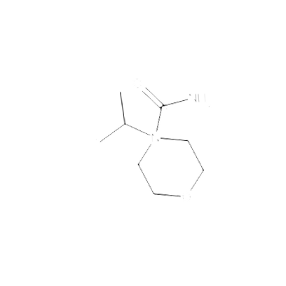 CC(C)[N+]1(C(N)=O)CCOCC1